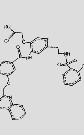 O=C(O)COc1ccc(CCNS(=O)(=O)c2ccccc2Cl)cc1NC(=O)c1cccc(OCc2ccc3ccccc3n2)c1